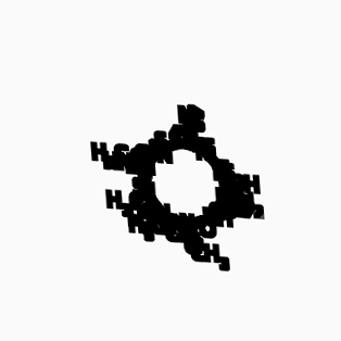 CNC(=O)C[C@@H]1NC(=O)c2csc(n2)-c2ccc(-c3nccs3)nc2-c2csc(n2)-c2csc(n2)[C@H]([C@@H](O)c2ccccc2)N(N)C(=O)CNC(=O)c2nc(sc2COC)[C@H](C(C)C)N(N)C(=O)c2nc1sc2C